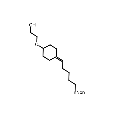 CCCCCCCCCCCCCC=C1CCC(OCCO)CC1